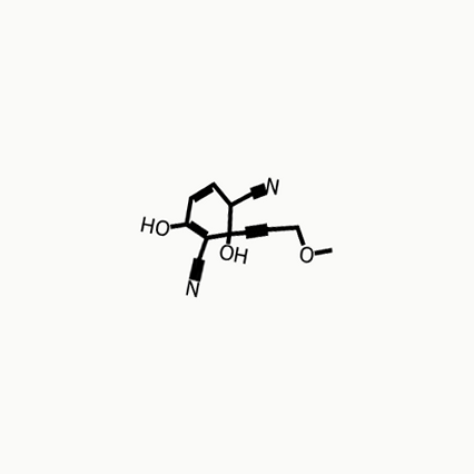 COCC#CC1(O)C(C#N)=C(O)C=CC1C#N